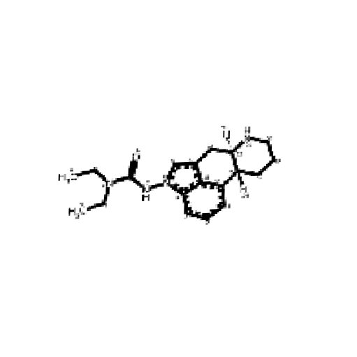 CCN(CC)C(=O)Nn1cc2c3c(cccc31)[C@H]1CCCN[C@@H]1C2